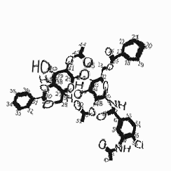 CC(=O)Nc1cc(C(=O)N[C@@H]2O[C@H](COC(=O)c3ccccc3)[C@@H](O[C@H]3O[C@@H]4CO[C@@H](c5ccccc5)O[C@H]4[C@H](O)[C@H]3OC(C)=O)[C@H](O)[C@H]2OC(C)=O)ccc1Cl